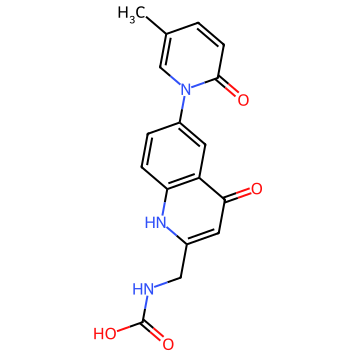 Cc1ccc(=O)n(-c2ccc3[nH]c(CNC(=O)O)cc(=O)c3c2)c1